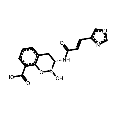 O=C(/C=C/c1cocn1)N[C@H]1Cc2cccc(C(=O)O)c2OB1O